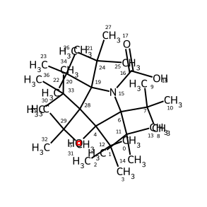 CC(C)(C)C1(O)C(C(C)(C)C)(C(C)(C)C)N(C(=O)O)C(C(C)(C)C)(C(C)(C)C)C1(C(C)(C)C)C(C)(C)C